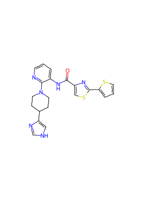 O=C(Nc1cccnc1N1CCC(c2c[nH]cn2)CC1)c1csc(-c2cccs2)n1